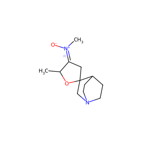 CC1OC2(C/C1=[N+](\C)[O-])CN1CCC2CC1